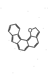 C1=c2ccc3ccc4c(c3c2OC1)=c1ccccc1=C4